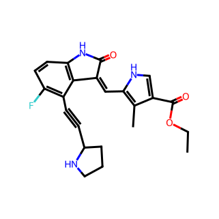 CCOC(=O)c1c[nH]c(/C=C2\C(=O)Nc3ccc(F)c(C#CC4CCCN4)c32)c1C